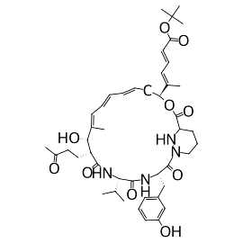 CC(=O)CC[C@H]1C(=O)N[C@@H](C(C)C)C(=O)N[C@@H](Cc2cccc(O)c2)C(=O)N2CCCC(N2)C(=O)O[C@H](/C(C)=C/C=C/C(=O)OC(C)(C)C)C/C=C/C=C/C=C(\C)[C@H]1O